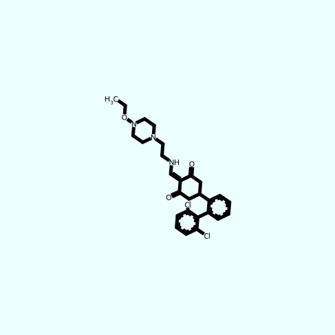 CCON1CCN(CCNC=C2C(=O)CC(c3ccccc3-c3c(Cl)cccc3Cl)CC2=O)CC1